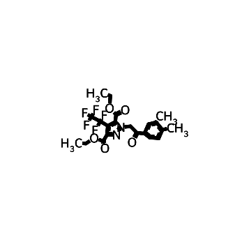 CCOC(=O)c1nn(CC(=O)c2ccc(C)c(C)c2)c(C(=O)OCC)c1C(F)(F)C(F)(F)F